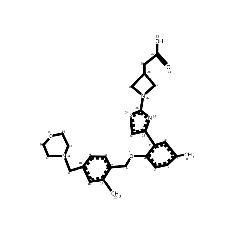 Cc1ccc(OCc2ccc(CN3CCOCC3)cc2C)c(-c2csc(N3CC(CC(=O)O)C3)n2)c1